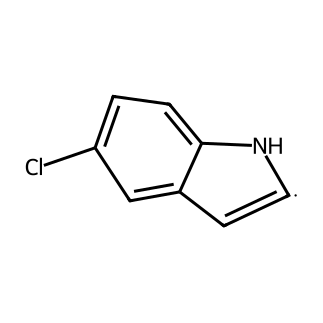 Clc1ccc2[nH][c]cc2c1